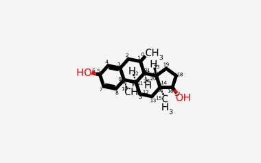 CC1CC2=CC(O)C=C[C@]2(C)[C@@H]2CC[C@]3(C)C(O)CC[C@H]3[C@H]12